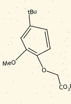 COc1cc(C(C)(C)C)ccc1OCC(=O)O